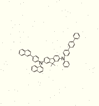 CC1(C)c2cc(N(c3ccccc3)c3ccc(-c4ccc(-c5ccccc5)cc4)cc3)ccc2-c2ccc(N(c3ccc(-c4ccc5ccccc5c4)cc3)c3cccc4ccccc34)cc21